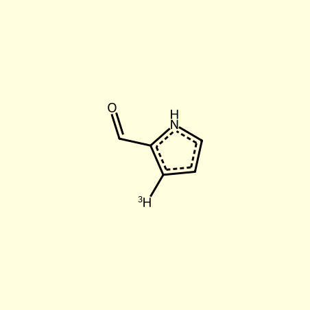 [3H]c1cc[nH]c1C=O